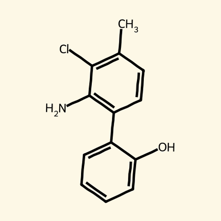 Cc1ccc(-c2ccccc2O)c(N)c1Cl